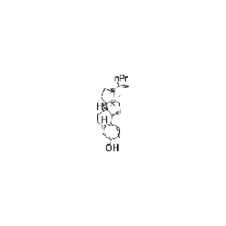 C=C(CCC)[C@H]1CC[C@H]2[C@@H]3CCc4cc(O)ccc4C3=CC[C@]12C